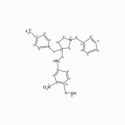 O=[N+]([O-])c1cc(NCC2(Cc3ccc(C(F)(F)F)cc3)CCN(Cc3ccccc3)C2)ccc1CO